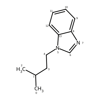 CC(C)CCn1cnc2ccccc21